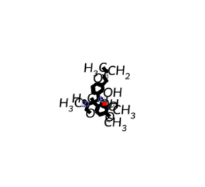 C=C(C)[C@H]1Cc2c(ccc(/C(=N/O)C3(C)/C(=C/C)COc4cc(OC)c(OC)cc43)c2O)O1